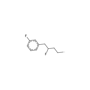 [CH2]CCC(F)Cc1cccc(F)c1